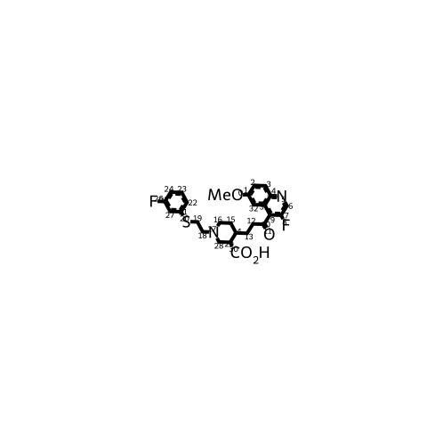 COc1ccc2ncc(F)c(C(=O)CCC3CCN(CCSc4cccc(F)c4)CC3C(=O)O)c2c1